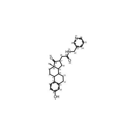 C[C@]12CCC3c4ccc(O)cc4CCC3C1CC(CC(=O)NCc1cccnc1)C2=O